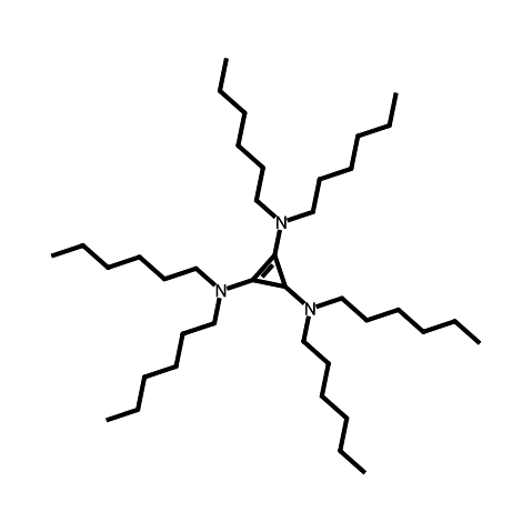 CCCCCCN(CCCCCC)C1=C(N(CCCCCC)CCCCCC)C1N(CCCCCC)CCCCCC